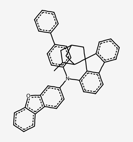 CC1CC2CC1C1(C2)c2ccccc2-c2cccc(N(c3ccc(-c4ccccc4)cc3)c3ccc4c(c3)oc3ccccc34)c21